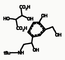 CC(C)(C)NCC(O)c1ccc(O)c(CO)c1.O=C(O)C(O)C(O)C(=O)O